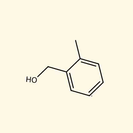 Cc1cc[c]cc1CO